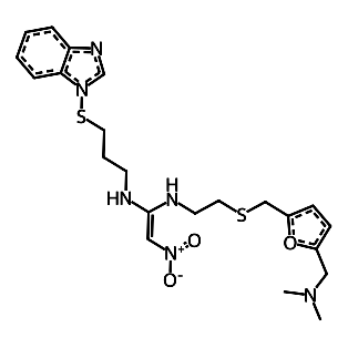 CN(C)Cc1ccc(CSCCNC(=C[N+](=O)[O-])NCCCSn2cnc3ccccc32)o1